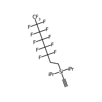 C#C[Si](CCC(F)(F)C(F)(F)C(F)(F)C(F)(F)C(F)(F)C(F)(F)F)(C(C)C)C(C)C